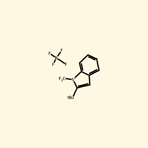 CC(C)(C)c1cc2ccccc2[s+]1C(F)(F)F.F[B-](F)(F)F